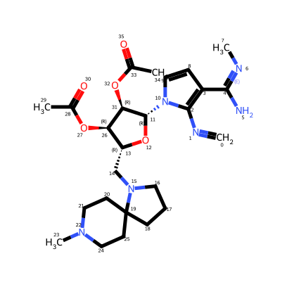 C=Nc1c(/C(N)=N\C)ccn1[C@@H]1O[C@H](CN2CCCC23CCN(C)CC3)[C@@H](OC(C)=O)[C@H]1OC(C)=O